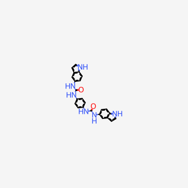 O=C(Nc1ccc(NC(=O)Nc2ccc3[nH]ccc3c2)cc1)Nc1ccc2[nH]ccc2c1